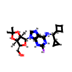 CC1(C)O[C@@H]2[C@H](O1)[C@@H](CO)O[C@H]2n1cnc2c(N[C@H](C3CCC3)C3CC3)nc(I)nc21